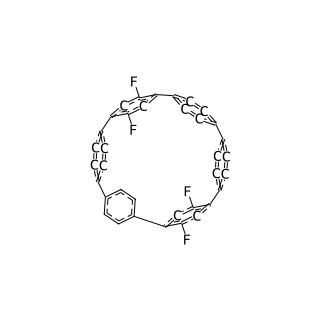 Fc1cc2c(F)cc1-c1ccc(cc1)-c1ccc(cc1)-c1cc(F)c(cc1F)-c1ccc(cc1)-c1ccc-2cc1